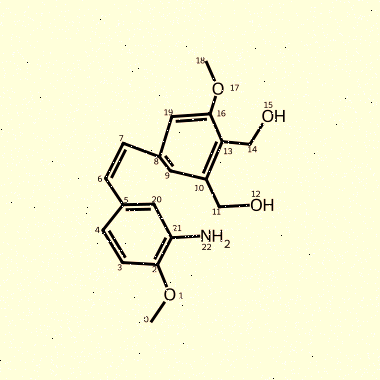 COc1ccc(/C=C\c2cc(CO)c(CO)c(OC)c2)cc1N